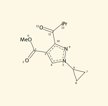 COC(=O)c1cn(C2CC2)nc1C(=O)C(C)C